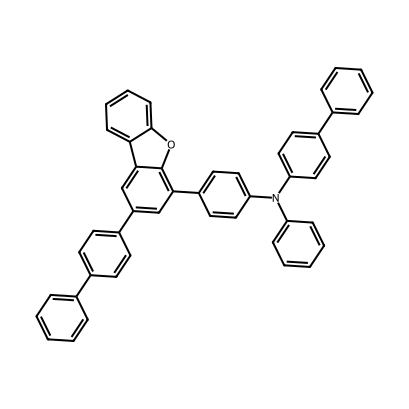 c1ccc(-c2ccc(-c3cc(-c4ccc(N(c5ccccc5)c5ccc(-c6ccccc6)cc5)cc4)c4oc5ccccc5c4c3)cc2)cc1